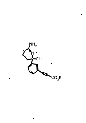 CCOC(=O)C#Cc1cccc(C2(C)CCSC(N)=N2)c1